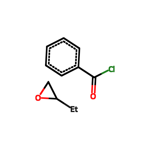 CCC1CO1.O=C(Cl)c1ccccc1